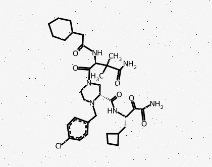 CC(C)(C(N)=O)[C@H](NC(=O)[CH]C1CCCCC1)C(=O)N1CCN(Cc2ccc(Cl)cc2)[C@@H](C(=O)N[C@@H](CC2CCC2)C(=O)C(N)=O)C1